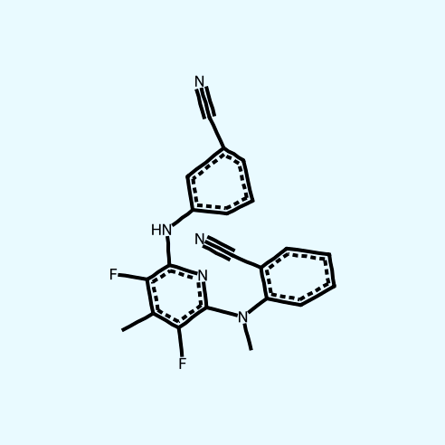 Cc1c(F)c(Nc2cccc(C#N)c2)nc(N(C)c2ccccc2C#N)c1F